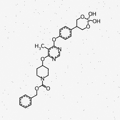 Cc1c(Oc2ccc(C3COS(O)(O)OC3)cc2)ncnc1OC1CCN(C(=O)OCc2ccccc2)CC1